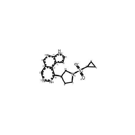 O=S(=O)(C1CC1)N1CCC(c2nncc3cnc4[nH]ccc4c23)C1